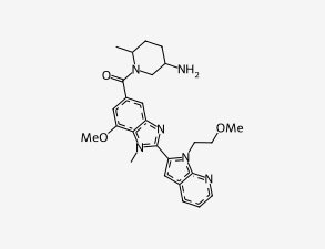 COCCn1c(-c2nc3cc(C(=O)N4CC(N)CCC4C)cc(OC)c3n2C)cc2cccnc21